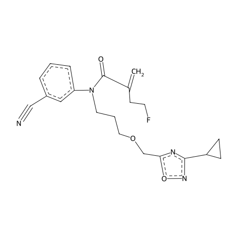 C=C(CCF)C(=O)N(CCCOCc1nc(C2CC2)no1)c1cccc(C#N)c1